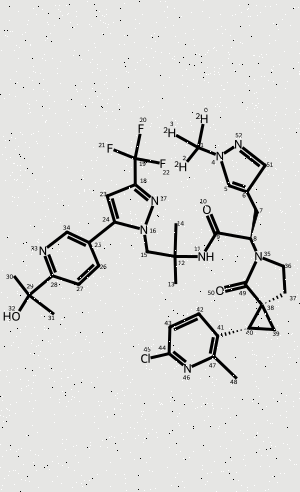 [2H]C([2H])([2H])n1cc(C[C@H](C(=O)NC(C)(C)Cn2nc(C(F)(F)F)cc2-c2ccc(C(C)(C)O)nc2)N2CC[C@@]3(C[C@@H]3c3ccc(Cl)nc3C)C2=O)cn1